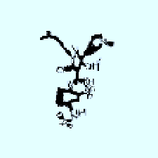 CC(C)CCn1nc(-c2ccn(C)c2)c(O)c(C2=Nc3ccc(NS(C)(=O)=O)cc3S(=O)(=O)N2)c1=O